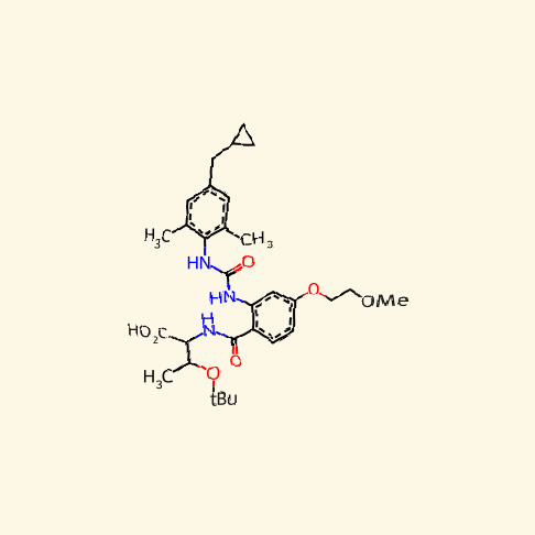 COCCOc1ccc(C(=O)NC(C(=O)O)C(C)OC(C)(C)C)c(NC(=O)Nc2c(C)cc(CC3CC3)cc2C)c1